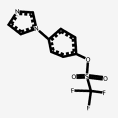 O=S(=O)(Oc1ccc(-n2ccnc2)cc1)C(F)(F)F